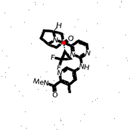 CNC(=O)c1ncc(Nc2nccc(N3CC4CC[C@@H](C3)N4C(=O)[C@@H]3CC3(F)F)n2)cc1C